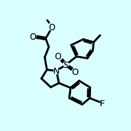 COC(=O)CCC1CCC(c2ccc(F)cc2)N1S(=O)(=O)c1ccc(C)cc1